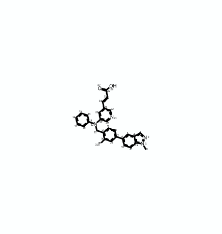 Cn1ncc2cc(-c3ccc(CN(c4ccccc4)c4cncc(/C=C/C(=O)O)c4)c(F)c3)ccc21